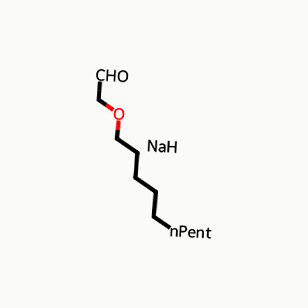 CCCCCCCCCCOCC=O.[NaH]